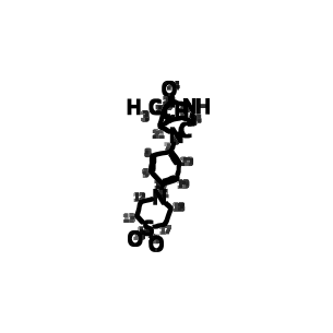 CC1(C)CC2CN(c3ccc(N4CCS(=O)(=O)CC4)cc3)C1CC(=O)N2